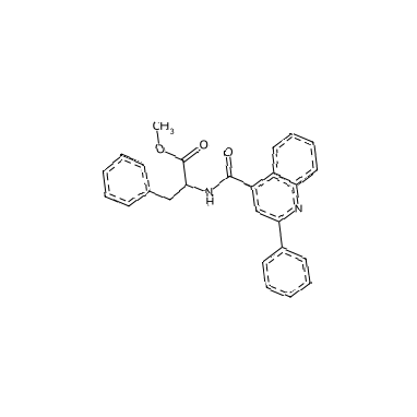 COC(=O)C(Cc1ccccc1)NC(=O)c1cc(-c2ccccc2)nc2ccccc12